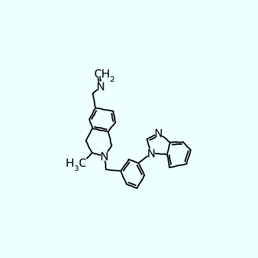 C=NCc1ccc2c(c1)CC(C)N(Cc1cccc(-n3cnc4ccccc43)c1)C2